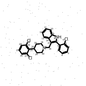 Clc1ccccc1-c1[nH]c2ccccc2c1CN1CCC(c2c(Cl)cccc2Cl)CC1